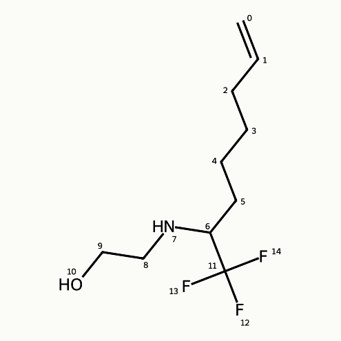 C=CCCCCC(NCCO)C(F)(F)F